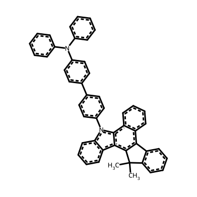 CC1(C)c2ccccc2-c2c1c1c3ccccc3n(-c3ccc(-c4ccc(N(c5ccccc5)c5ccccc5)cc4)cc3)c1c1ccccc21